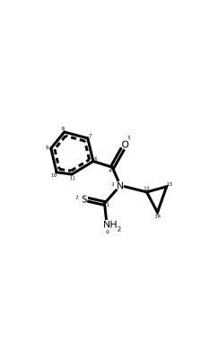 NC(=S)N(C(=O)c1ccccc1)C1CC1